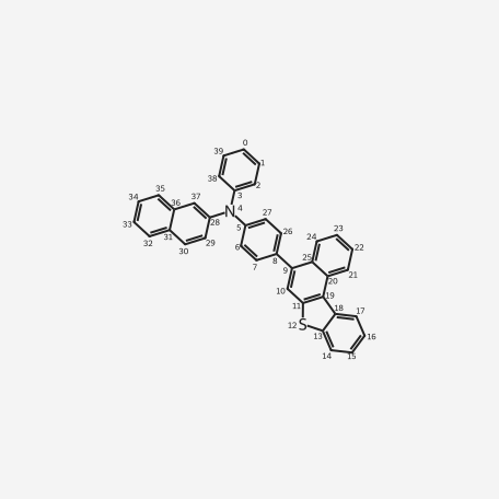 c1ccc(N(c2ccc(-c3cc4sc5ccccc5c4c4ccccc34)cc2)c2ccc3ccccc3c2)cc1